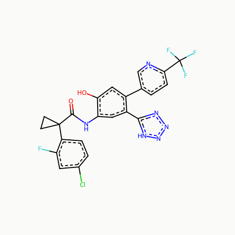 O=C(Nc1cc(-c2nnn[nH]2)c(-c2ccc(C(F)(F)F)nc2)cc1O)C1(c2ccc(Cl)cc2F)CC1